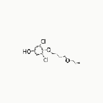 C=CCOCCCCOc1c(Cl)cc(O)cc1Cl